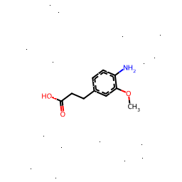 COc1cc(CCC(=O)O)ccc1N